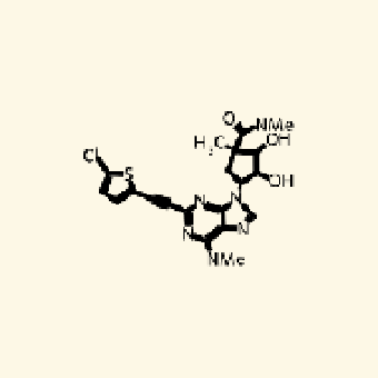 CNC(=O)[C@@]1(C)C[C@@H](n2cnc3c(NC)nc(C#Cc4ccc(Cl)s4)nc32)C(O)C1O